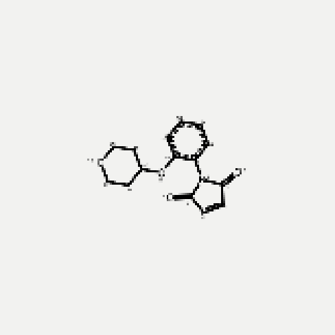 O=C1C=CC(=O)N1c1ccccc1OC1CCOCC1